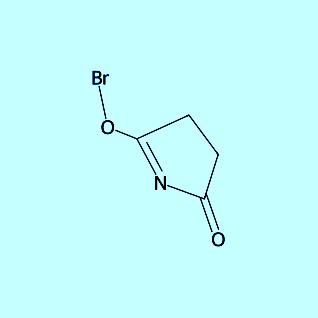 O=C1CCC(OBr)=N1